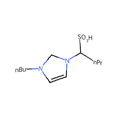 CCCCN1C=CN(C(CCC)S(=O)(=O)O)C1